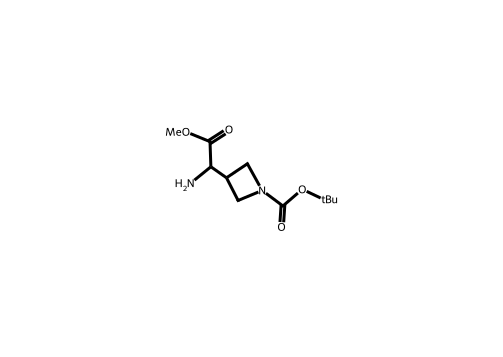 COC(=O)C(N)C1CN(C(=O)OC(C)(C)C)C1